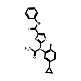 Cc1ccc(C2CC2)cc1N(C(N)=O)c1nc(C(=O)Nc2ccccc2)cs1